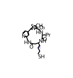 CC(C)C1NC(=O)[C@]2(C)CSC(=N2)c2ccnc(c2)CNC(=O)CC(/C=C/CCS)NC1=O